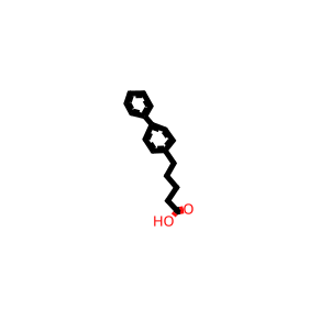 O=C(O)CCCCc1ccc(-c2ccccc2)cc1